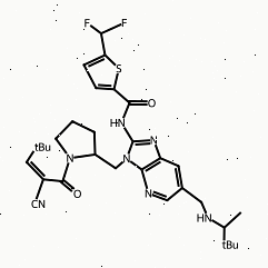 CC(NCc1cnc2c(c1)nc(NC(=O)c1ccc(C(F)F)s1)n2CC1CCCN1C(=O)C(C#N)=CC(C)(C)C)C(C)(C)C